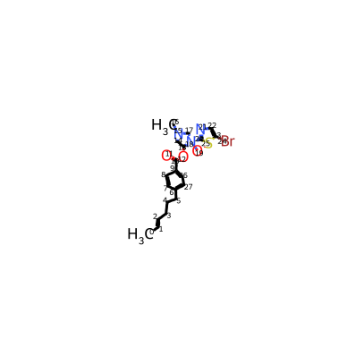 CC=CCCCc1ccc(C(=O)OC2CN(C)C[N+]2([O-])c2ncc(Br)s2)cc1